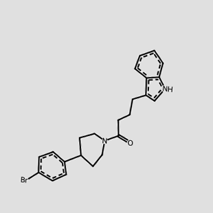 O=C(CCCc1c[nH]c2ccccc12)N1CCC(c2ccc(Br)cc2)CC1